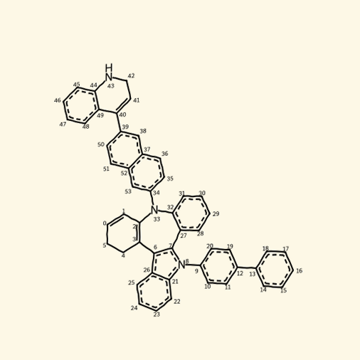 C1=CC2=C(CC1)c1c(n(-c3ccc(-c4ccccc4)cc3)c3ccccc13)-c1ccccc1N2c1ccc2cc(C3=CCNc4ccccc43)ccc2c1